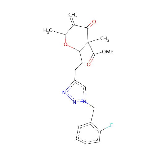 C=C1C(=O)C(C)(C(=O)OC)C(CCc2cn(Cc3ccccc3F)nn2)OC1C